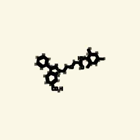 Cc1cc(C)c(NC(=O)COCCn2cc(-c3ccccc3)c3ccc(C(=O)O)cc32)c(C)c1